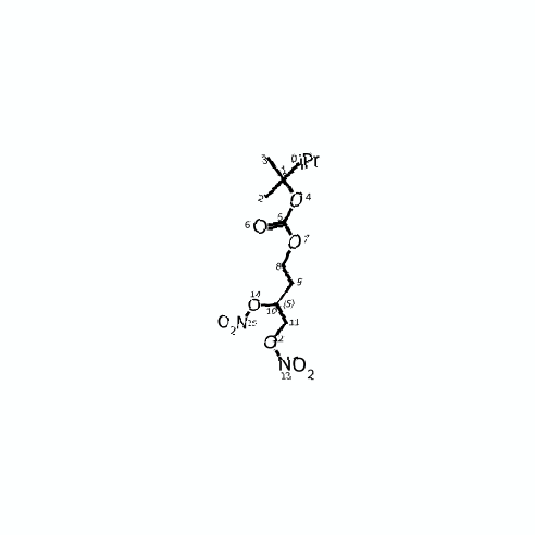 CC(C)C(C)(C)OC(=O)OCC[C@@H](CO[N+](=O)[O-])O[N+](=O)[O-]